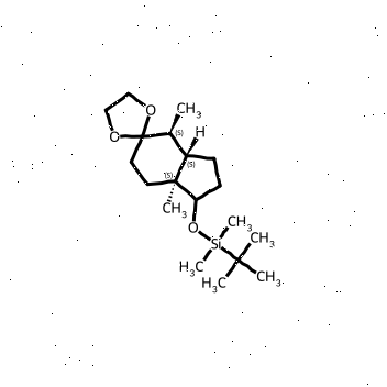 C[C@H]1[C@@H]2CCC(O[Si](C)(C)C(C)(C)C)[C@@]2(C)CCC12OCCO2